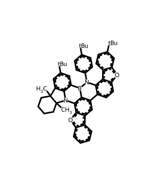 CC(C)(C)c1ccc(N2B3c4cc(C(C)(C)C)cc5c4N(c4c3c(cc3c4oc4ccccc43)-c3ccc4oc6cc(C(C)(C)C)ccc6c4c32)C2(C)CCCCC52C)cc1